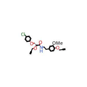 C#CCOc1ccc(CCNC(=O)[C@@H](COc2ccc(Cl)cc2)OCC#C)cc1OC